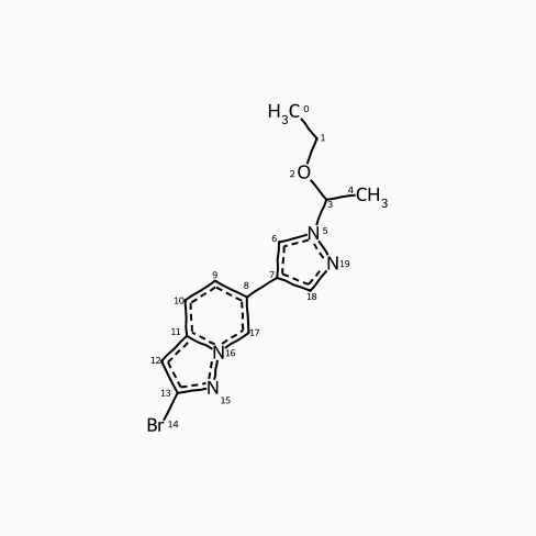 CCOC(C)n1cc(-c2ccc3cc(Br)nn3c2)cn1